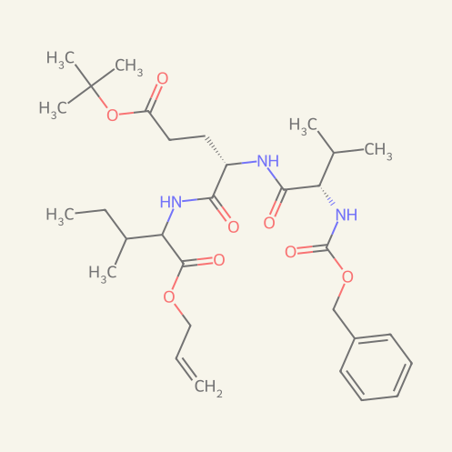 C=CCOC(=O)C(NC(=O)[C@H](CCC(=O)OC(C)(C)C)NC(=O)[C@@H](NC(=O)OCc1ccccc1)C(C)C)C(C)CC